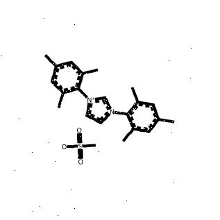 CS(=O)(=O)[O-].Cc1cc(C)c(-n2cc[n+](-c3c(C)cc(C)cc3C)c2)c(C)c1